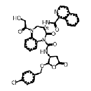 O=C1CC(NC(=O)N2C(=O)[C@@H](NC(=O)c3nccc4ccccc34)CN(C(=O)CO)c3ccccc32)C(OCc2ccc(Cl)cc2)O1